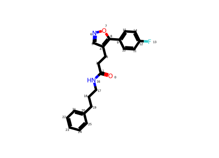 O=C(CCc1cnoc1-c1ccc(F)cc1)NCCCc1ccccc1